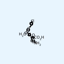 CC(C)OCCN(C(=O)[C@H](SCCN)C(=O)O)c1ccc(C(=O)N2CCN(CCc3ccc(Cl)cc3)CC2)cc1.O